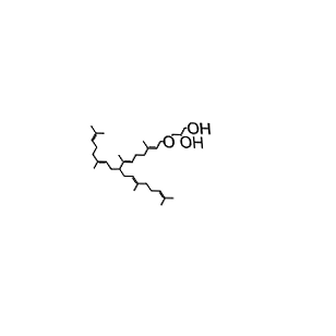 CC(C)=CCC/C(C)=C/CC(C/C=C(\C)CCC=C(C)C)C(C)=CCC/C(C)=C/COCC(O)CO